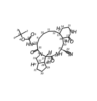 CC(C)(C)OC(=O)N[C@H]1CCCC[C@H]2CCNC(=O)[C@H]2C[C@@H](C#N)NC(=O)[C@@H]2[C@H]3CCC[C@H]3CN2C1=O